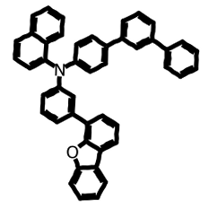 c1ccc(-c2cccc(-c3ccc(N(c4cccc(-c5cccc6c5oc5ccccc56)c4)c4cccc5ccccc45)cc3)c2)cc1